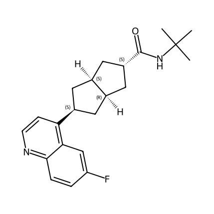 CC(C)(C)NC(=O)[C@H]1C[C@@H]2C[C@H](c3ccnc4ccc(F)cc34)C[C@@H]2C1